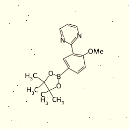 COc1ccc(B2OC(C)(C)C(C)(C)O2)cc1-c1ncccn1